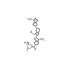 Cc1c(-c2cc3ccc(-c4ccn5c(C)nnc5c4)cc3n2CC2CC2)oc2cc(C(=O)N3C[C@H](N)C[C@@H](F)C3)ccc12